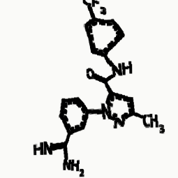 Cc1cc(C(=O)Nc2ccc(C(F)(F)F)cc2)n(-c2cccc(C(=N)N)c2)n1